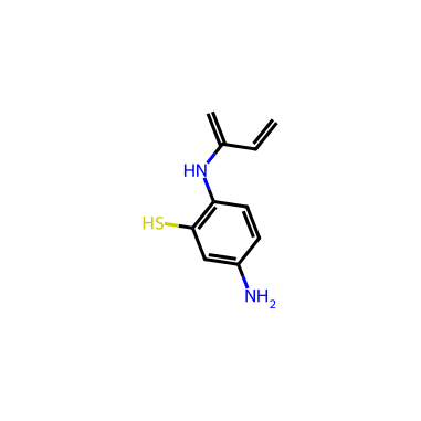 C=CC(=C)Nc1ccc(N)cc1S